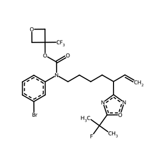 C=CC(CCCCN(C(=O)OC1(C(F)(F)F)COC1)c1cccc(Br)c1)c1noc(C(C)(C)F)n1